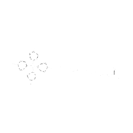 CCCCCCCCCCCC[NH2+]C(=N)N.Clc1ccc([B-](c2ccc(Cl)cc2)(c2ccc(Cl)cc2)c2ccc(Cl)cc2)cc1